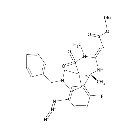 CN1/C(=N\C(=O)OC(C)(C)C)N[C@](C)(c2cc(N=[N+]=[N-])ccc2F)C2(CCN(Cc3ccccc3)C2)S1(=O)=O